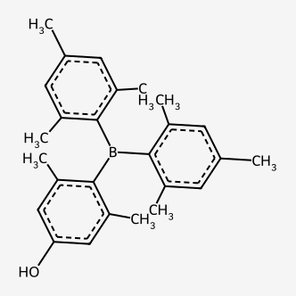 Cc1cc(C)c(B(c2c(C)cc(C)cc2C)c2c(C)cc(O)cc2C)c(C)c1